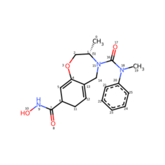 C[C@H]1COC2=CC(C(=O)NO)CC=C2CN1C(=O)N(C)c1ccccc1